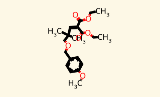 CCOC(=O)C(=CC(C)(C)COCc1ccc(OC)cc1)C(=O)OCC